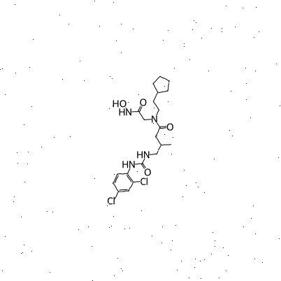 CC(CNC(=O)Nc1ccc(Cl)cc1Cl)CC(=O)N(CCC1CCCC1)CC(=O)NO